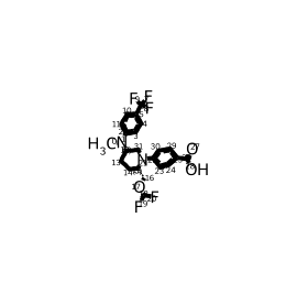 CN(c1ccc(C(F)(F)F)cc1)[C@@H]1CC[C@@H](COC(F)F)N(c2ccc(C(=O)O)cc2)C1